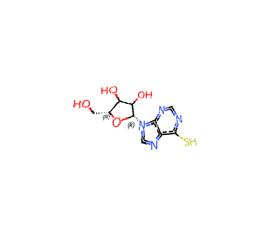 OC[C@H]1O[C@@H](n2cnc3c(S)ncnc32)C(O)C1O